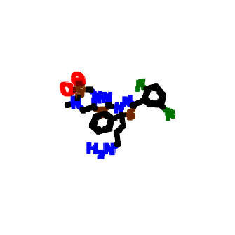 CN1CC2SC(N3N=C(c4cc(F)ccc4F)SC3(CCCN)c3ccccc3)=NN2CS1(=O)=O